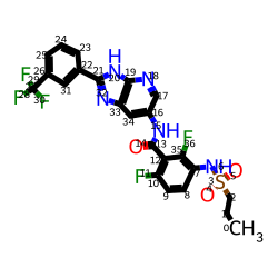 CCCS(=O)(=O)Nc1ccc(F)c(C(=O)Nc2cnc3[nH]c(-c4cccc(C(F)(F)F)c4)nc3c2)c1F